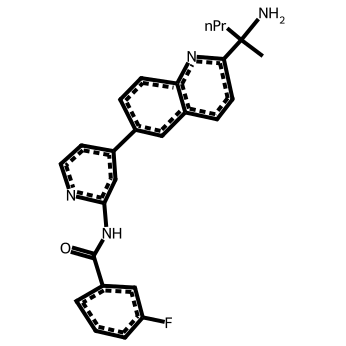 CCCC(C)(N)c1ccc2cc(-c3ccnc(NC(=O)c4cccc(F)c4)c3)ccc2n1